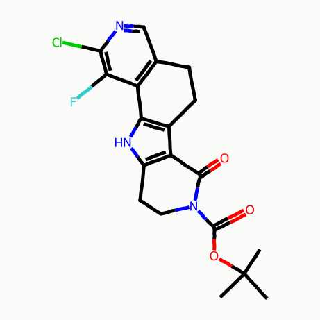 CC(C)(C)OC(=O)N1CCc2[nH]c3c(c2C1=O)CCc1cnc(Cl)c(F)c1-3